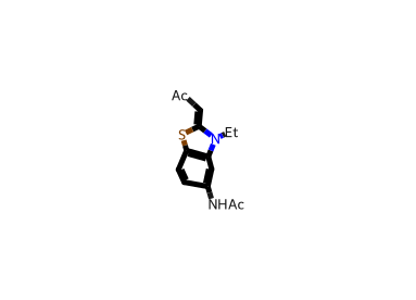 CCN1/C(=C/C(C)=O)Sc2ccc(NC(C)=O)cc21